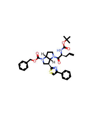 C=CC[C@H](NC(=O)OC(C)(C)C)C(=O)N1CC[C@@H]2[C@H]1[C@@H](c1nc(-c3ccccc3)cs1)CN2C(=O)OCc1ccccc1